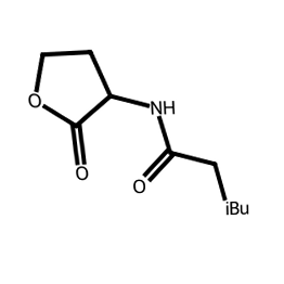 CCC(C)CC(=O)NC1CCOC1=O